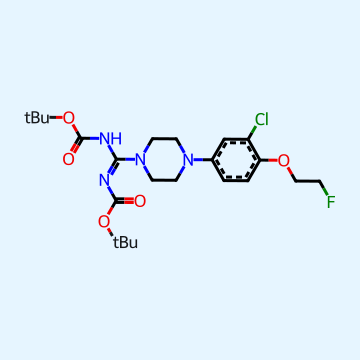 CC(C)(C)OC(=O)/N=C(/NC(=O)OC(C)(C)C)N1CCN(c2ccc(OCCF)c(Cl)c2)CC1